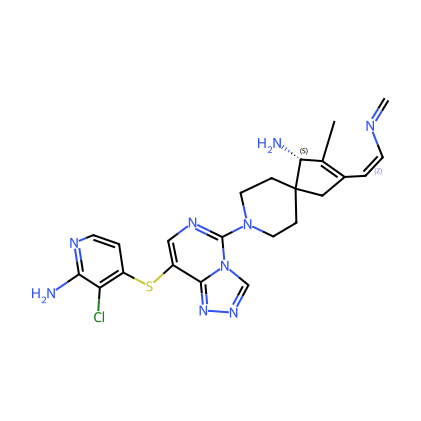 C=N/C=C\C1=C(C)[C@@H](N)C2(CCN(c3ncc(Sc4ccnc(N)c4Cl)c4nncn34)CC2)C1